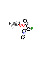 C[Si](C)(C)CCOCOc1c(COC2(c3ccc(F)cc3)CCCN(Cc3ccccc3)C2)ccc2ccccc12